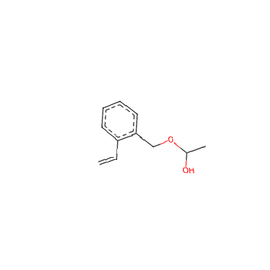 C=Cc1ccccc1COC(C)O